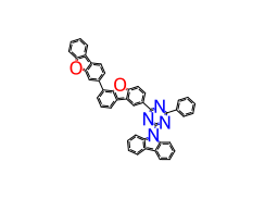 c1ccc(-c2nc(-c3ccc4oc5c(-c6ccc7c(c6)oc6ccccc67)cccc5c4c3)nc(-n3c4ccccc4c4ccccc43)n2)cc1